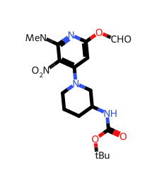 CNc1nc(OC=O)cc(N2CCCC(NC(=O)OC(C)(C)C)C2)c1[N+](=O)[O-]